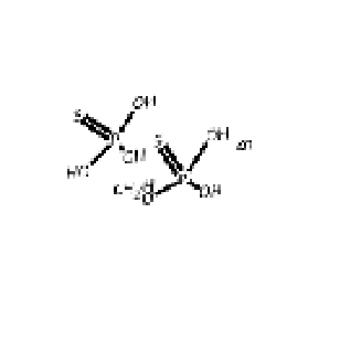 OP(O)(O)=S.OP(O)(O)=S.[CH2].[Zn]